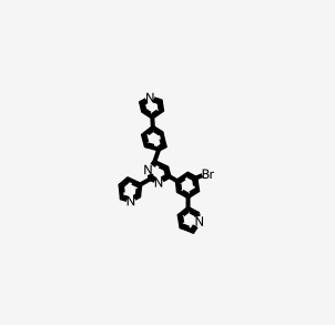 Brc1cc(-c2cccnc2)cc(-c2cc(-c3ccc(-c4ccncc4)cc3)nc(-c3cccnc3)n2)c1